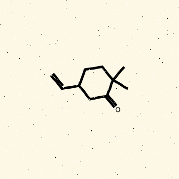 C=CC1CCC(C)(C)C(=O)C1